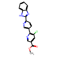 COC(=O)c1cnc(-c2ccc(-c3nc4ccccc4[nH]3)nc2)c(Cl)c1